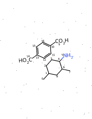 CC1CCC(N)C(C)C1.O=C(O)c1ccc(C(=O)O)cc1